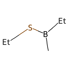 CCSB(C)CC